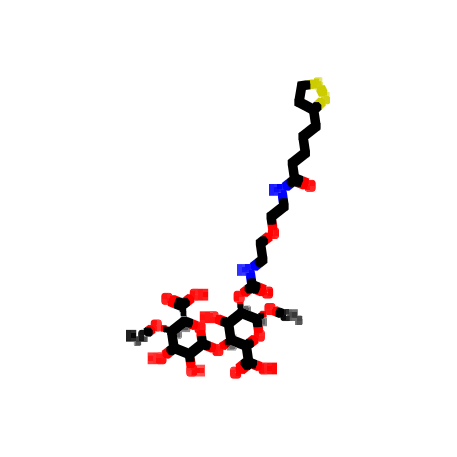 CO[C@@H]1OC(C(=O)O)[C@@H](OC2O[C@@H](C(=O)O)[C@@H](OC)C(O)C2O)C(O)[C@@H]1OC(=O)NCCOCCNC(=O)CCCCC1CCSS1